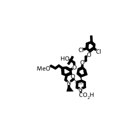 COCCCc1cc(CN(C(=O)[C@H]2CN(C(=O)O)CC[C@@H]2c2ccc(OCCOc3c(Cl)cc(C)cc3Cl)cc2)C2CC2)cc(OCC(C)(C)O)c1